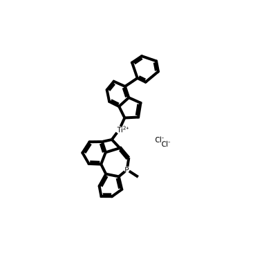 CP1C2=Cc3c(cccc3[CH]2[Ti+2][CH]2C=Cc3c(-c4ccccc4)cccc32)-c2ccccc21.[Cl-].[Cl-]